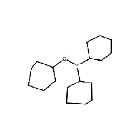 C1CCC(OP(C2CCCCC2)C2CCCCC2)CC1